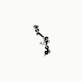 Cc1nc2n(c(=O)c1CCN1CCC(c3noc4cc(F)ccc34)CC1)CCCC2OCCCCCC(=O)N1CCN(C(=O)OC(C)(C)C)CC1